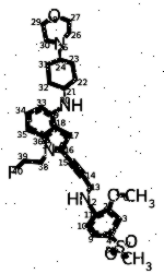 COc1cc(S(C)(=O)=O)ccc1NCC#Cc1cc2c(N[C@H]3CC[C@H](N4CCOCC4)CC3)cccc2n1CCF